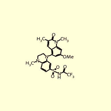 COc1cc(N2CCN(C)c3ccc(S(=O)(=O)NC(=O)C(F)(F)F)cc32)c2cc(C)c(=O)n(C)c2c1